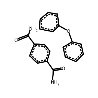 NC(=O)c1ccc(C(N)=O)cc1.c1ccc(Oc2ccccc2)cc1